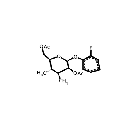 CC(=O)OCC1O[C@@H](Oc2ccccc2F)C(OC(C)=O)[C@@H](C)[C@@H]1C